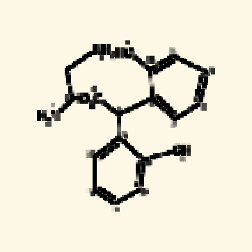 NCCN.O=C(O)C(c1ccccc1O)c1ccccc1O